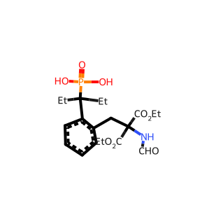 CCOC(=O)C(Cc1ccccc1C(CC)(CC)P(=O)(O)O)(NC=O)C(=O)OCC